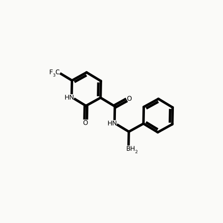 BC(NC(=O)c1ccc(C(F)(F)F)[nH]c1=O)c1ccccc1